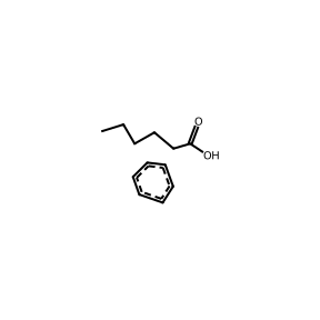 CCCCCC(=O)O.c1ccccc1